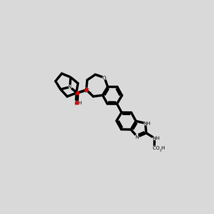 O=C(O)Nc1nc2ccc(-c3ccc4c(c3)CN(C(=O)N3C5CCC3CC(O)(C(F)(F)F)C5)CCO4)cc2[nH]1